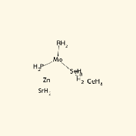 [BH2][Mo]([PH2])[SeH].[CaH2].[GeH4].[SrH2].[Zn]